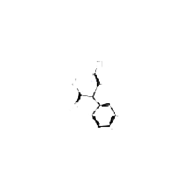 C/C=C/C(C([O])=O)c1ccccc1